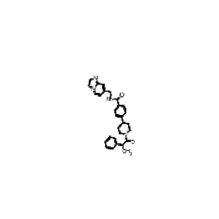 CC(C(=O)N1CCC(c2ccc(C(=O)NCc3ccn4ccnc4c3)cc2)CC1)c1ccccc1